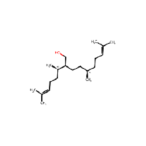 CC(C)=CCC[C@@H](C)CCC(CO)[C@H](C)CCC=C(C)C